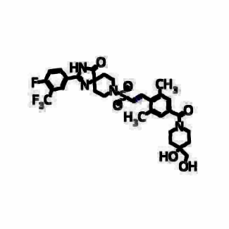 Cc1cc(C(=O)N2CCC(O)(CO)CC2)cc(C)c1/C=C/S(=O)(=O)N1CCC2(CC1)N=C(c1ccc(F)c(C(F)(F)F)c1)NC2=O